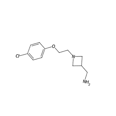 NCC1CN(CCOc2ccc(Cl)cc2)C1